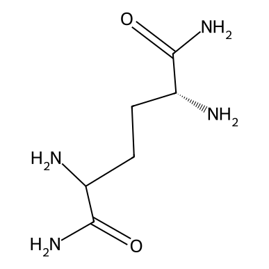 NC(=O)C(N)CC[C@@H](N)C(N)=O